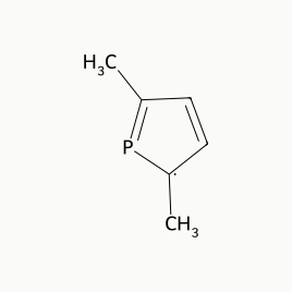 C[C]1C=CC(C)=P1